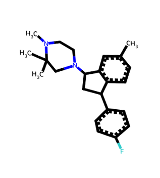 Cc1ccc2c(c1)C(N1CCN(C)C(C)(C)C1)CC2c1ccc(F)cc1